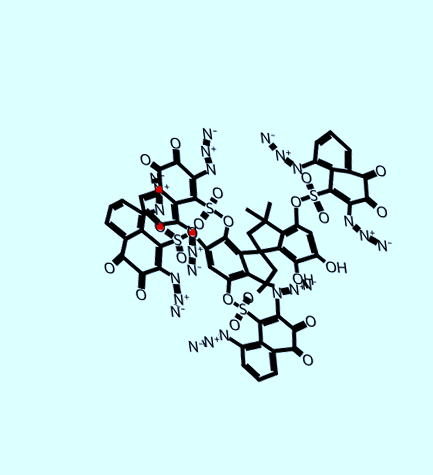 CC1(C)CC2(CC(C)(C)c3c(OS(=O)(=O)C4=C(N=[N+]=[N-])C(=O)C(=O)c5cccc(N=[N+]=[N-])c54)cc(OS(=O)(=O)C4=C(N=[N+]=[N-])C(=O)C(=O)c5cccc(N=[N+]=[N-])c54)c(OS(=O)(=O)C4=C(N=[N+]=[N-])C(=O)C(=O)c5cccc(N=[N+]=[N-])c54)c32)c2c(O)c(O)cc(OS(=O)(=O)C3=C(N=[N+]=[N-])C(=O)C(=O)c4cccc(N=[N+]=[N-])c43)c21